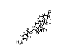 C[C@]12C=CC(=O)C=C1CC[C@@H]1[C@@H]2[C@@H](O)C[C@@]2(C)[C@H]1CC[C@]2(O)C(=O)COC(=O)c1ccc(N)cc1